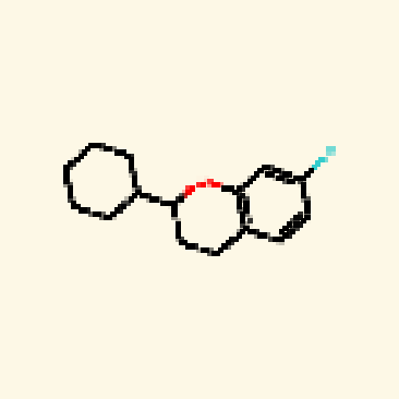 Fc1ccc2c(c1)OC(C1CCCCC1)CC2